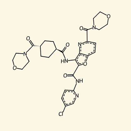 O=C(Nc1ccc(Cl)cn1)c1oc2ccc(C(=O)N3CCOCC3)nc2c1NC(=O)[C@H]1CC[C@H](C(=O)N2CCOCC2)CC1